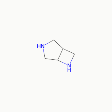 C1NCC2NCC12